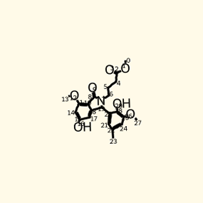 COC(=O)CCCN1C(=O)c2c(OC)cc(O)cc2C1c1cc(C)cc(OC)c1O